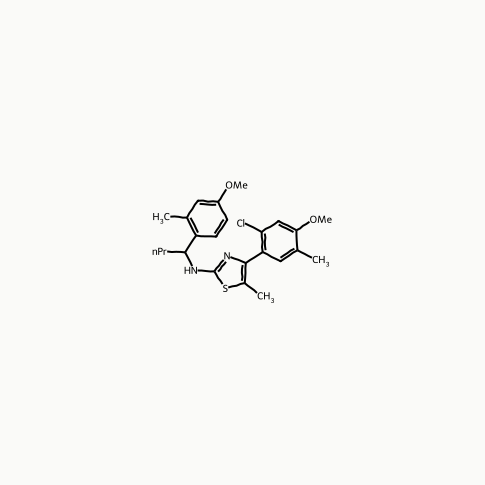 CCCC(Nc1nc(-c2cc(C)c(OC)cc2Cl)c(C)s1)c1ccc(OC)cc1C